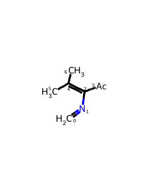 C=NC(C(C)=O)=C(C)C